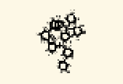 c1ccc(-c2cccc(N(c3ccc([Si](c4ccccc4)(c4ccccc4)c4ccccc4)cc3)c3cccc4c3sc3c(-c5ccccc5)cccc34)c2)cc1